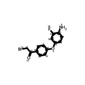 Nc1ccc(Oc2ccc(C(=O)CBr)cc2)cc1F